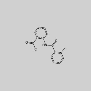 Cc1ccccc1C(=O)Nc1ncccc1C(=O)Cl